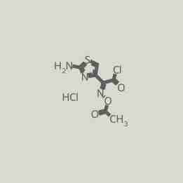 CC(=O)O/N=C(\C(=O)Cl)c1csc(N)n1.Cl